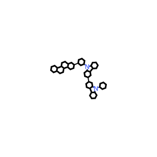 c1ccc(-n2c3ccccc3c3ccc(-c4ccc5c(c4)c4ccccc4n5-c4cccc(-c5ccc6c(ccc7c8ccccc8ccc67)c5)c4)cc32)cc1